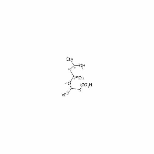 CCCC(CC(=O)O)OC(=O)CC(O)CC